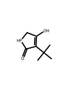 CC(C)(C)C1=C(O)CPC1=O